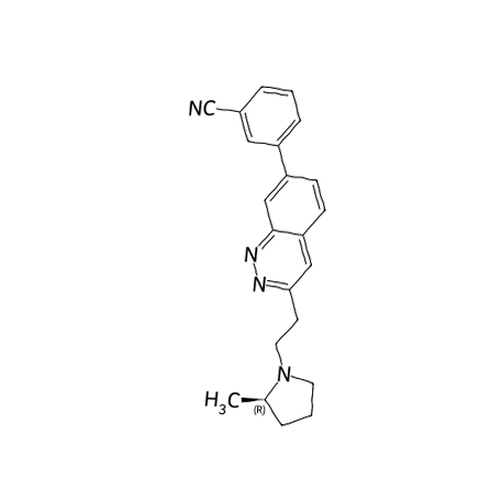 C[C@@H]1CCCN1CCc1cc2ccc(-c3cccc(C#N)c3)cc2nn1